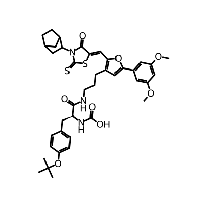 COc1cc(OC)cc(-c2cc(CCCNC(=O)[C@H](Cc3ccc(OC(C)(C)C)cc3)NC(=O)O)c(/C=C3\SC(=S)N(C4CC5CCC4C5)C3=O)o2)c1